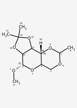 CO[C@H]1OC2COC(C)O[C@H]2C2OC(C)(C)OC21